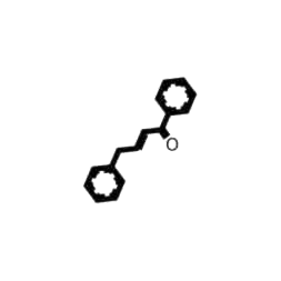 O=C(C=CCc1ccccc1)c1ccccc1